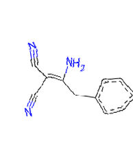 N#CC(C#N)=C(N)Cc1ccccc1